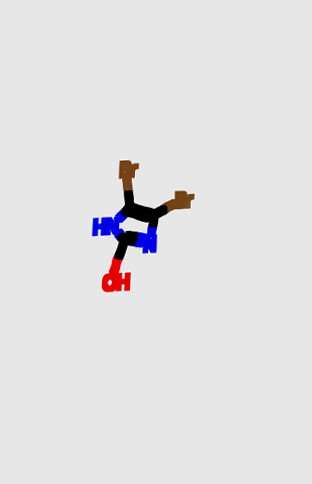 Oc1nc(Br)c(Br)[nH]1